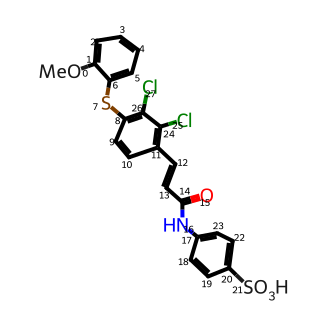 COc1ccccc1Sc1ccc(C=CC(=O)Nc2ccc(S(=O)(=O)O)cc2)c(Cl)c1Cl